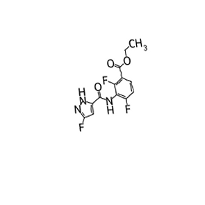 CCOC(=O)c1ccc(F)c(NC(=O)c2cc(F)n[nH]2)c1F